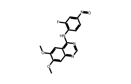 COc1cc2ncnc(Nc3ccc(N=O)cc3F)c2cc1OC